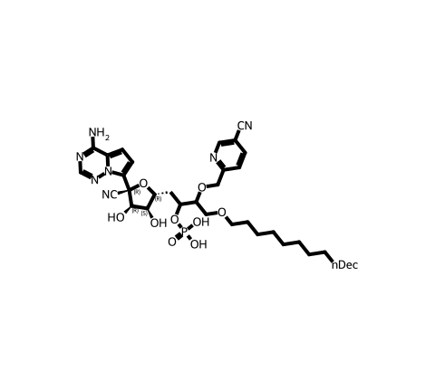 CCCCCCCCCCCCCCCCCCOCC(OCc1ccc(C#N)cn1)C(C[C@H]1O[C@@](C#N)(c2ccc3c(N)ncnn23)[C@H](O)[C@@H]1O)OP(=O)(O)O